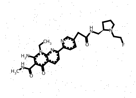 CCn1c(N)c(C(=O)NC)c(=O)c2ccc(-c3ccc(CC(=O)NC[C@H]4CCCN4CCF)cn3)nc21